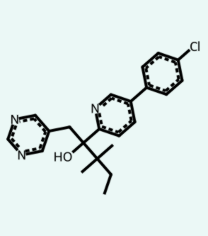 CCC(C)(C)C(O)(Cc1cncnc1)c1ccc(-c2ccc(Cl)cc2)cn1